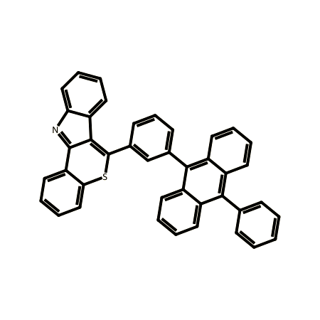 c1ccc(-c2c3ccccc3c(-c3cccc(-c4sc5ccccc5c5nc6ccccc6c4-5)c3)c3ccccc23)cc1